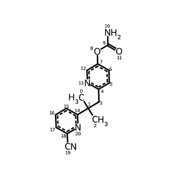 CC(C)(Cc1ccc(OC(N)=O)cn1)c1cccc(C#N)n1